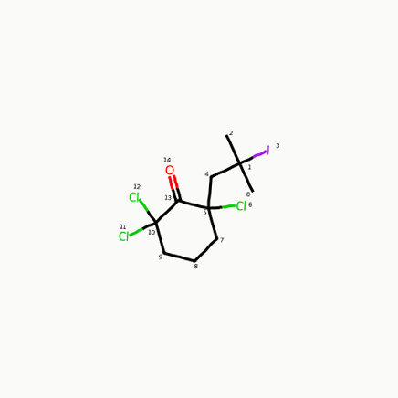 CC(C)(I)CC1(Cl)CCCC(Cl)(Cl)C1=O